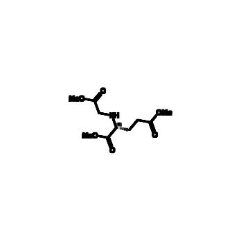 COC(=O)CC[C@@H](NCC(=O)OC)C(=O)OC